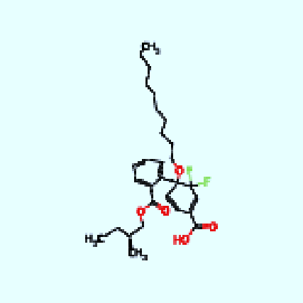 CCCCCCCCCCOC1(c2ccccc2C(=O)OC[C@@H](C)CC)C=CC(C(=O)O)=CC1(F)F